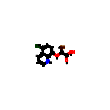 O=C(O)C(S)Oc1ccc(Cl)c2cccnc12